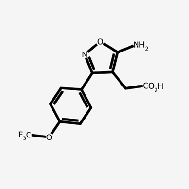 Nc1onc(-c2ccc(OC(F)(F)F)cc2)c1CC(=O)O